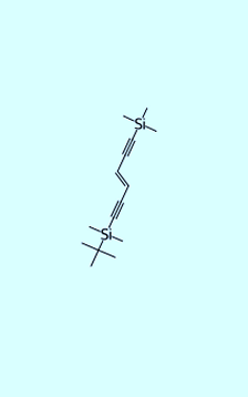 CC(C)(C)[Si](C)(C)C#CC=CC#C[Si](C)(C)C